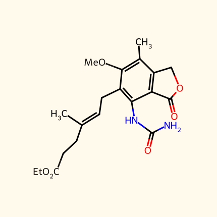 CCOC(=O)CC/C(C)=C/Cc1c(NC(N)=O)c2c(c(C)c1OC)COC2=O